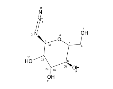 [N-]=[N+]=N[C@H]1OC(CO)[C@@H](O)[C@H](O)C1O